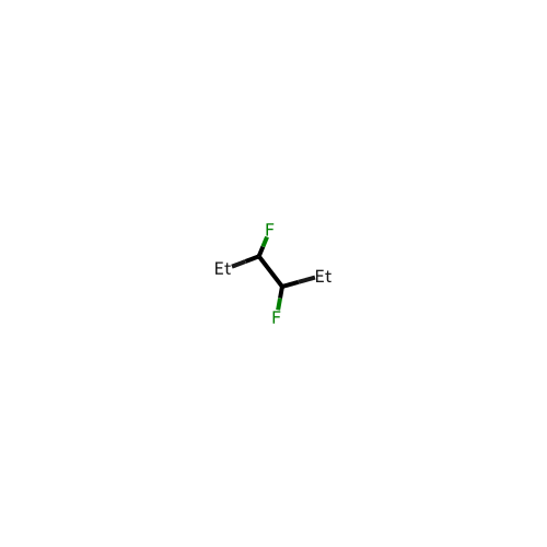 [CH2]CC(F)C(F)CC